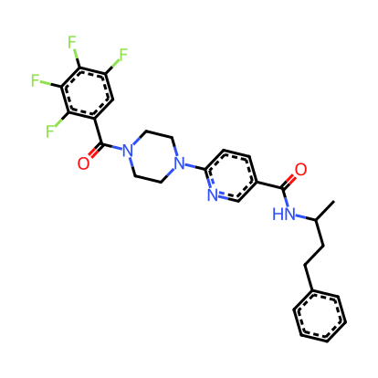 CC(CCc1ccccc1)NC(=O)c1ccc(N2CCN(C(=O)c3cc(F)c(F)c(F)c3F)CC2)nc1